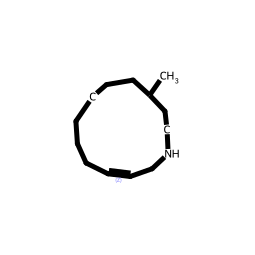 CC1CCCCCC/C=C\CNCC1